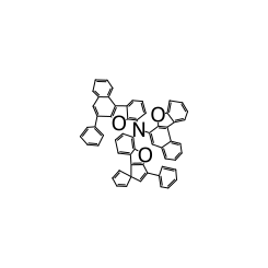 C1=CC2(C=C1)C=C(c1ccccc1)c1oc3c(N(c4cccc5c4oc4c(-c6ccccc6)cc6ccccc6c45)c4cc5ccccc5c5c4oc4ccccc45)cccc3c12